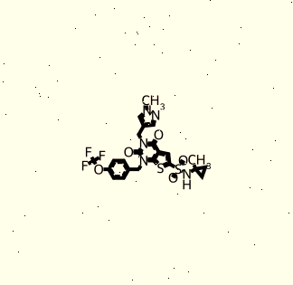 Cn1cc(Cn2c(=O)c3cc(S(=O)(=O)NC4(C)CC4)sc3n(Cc3ccc(OC(F)(F)F)cc3)c2=O)cn1